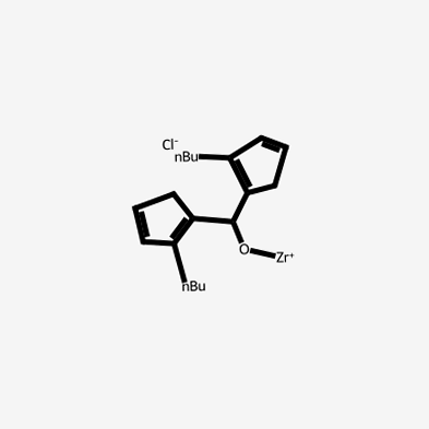 CCCCC1=C(C([O][Zr+])C2=C(CCCC)C=CC2)CC=C1.[Cl-]